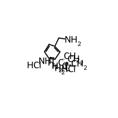 C=C.C=C.C=C.Cl.Cl.N.NCc1ccccc1